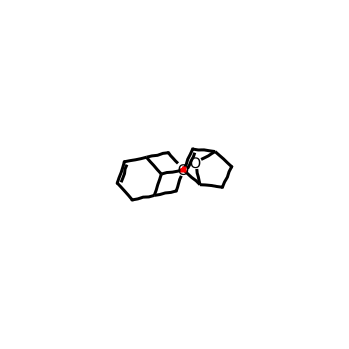 C1=CC2COCC(C1)C2C1=CC2CCC1O2